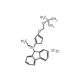 C[CH]=[Zr+2]([C]1=CC(OCO[Si](C)(C)C)=CC1)[CH]1c2ccccc2-c2ccccc21.[Cl-].[Cl-]